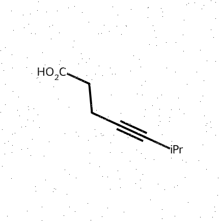 CC(C)C#CCCC(=O)O